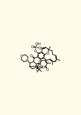 COC(=O)/C(C)=C\CC12OC(C)(C)C3CC(C1=O)C(N1CCOCC1)C1C(=O)c4c(OP(=O)(O)O)c5c(c(CC=C(C)C)c4OC132)OC(C)(CCC=C(C)C)C=C5